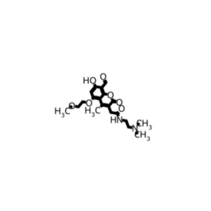 COCCOc1cc(O)c(C=O)c2oc(=O)c(CC(=O)NCCN(C)C)c(C)c12